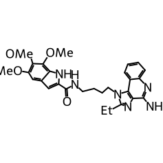 CCc1nc2c(N)nc3ccccc3c2n1CCCCNC(=O)c1cc2cc(OC)c(OC)c(OC)c2[nH]1